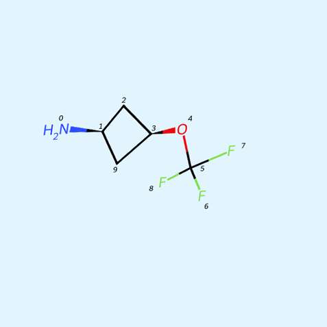 N[C@H]1C[C@@H](OC(F)(F)F)C1